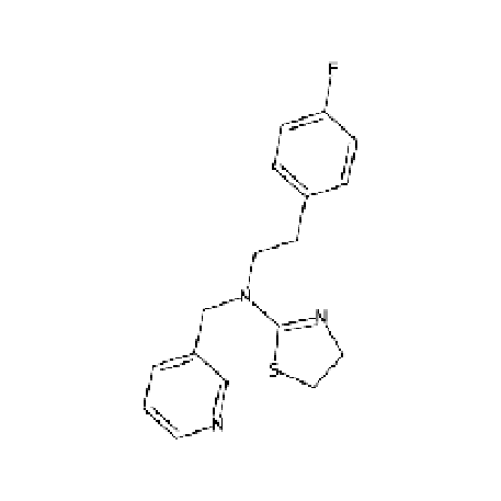 Fc1ccc(CCN(Cc2cccnc2)C2=NCCS2)cc1